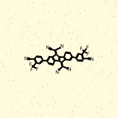 N#CC(C#N)=C1C2=C(C(=C(C#N)C#N)c3cc(-c4ccc(C#N)c(C(F)(F)F)c4)ccc32)c2ccc(-c3ccc(C#N)c(C(F)(F)F)c3)cc21